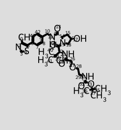 Cc1ncsc1-c1ccc(CNC(=O)[C@@H]2C[C@@H](O)CN2C(=O)[C@@H](NC(=O)COCCNC(=O)OC(C)(C)C)C(C)(C)C)cc1